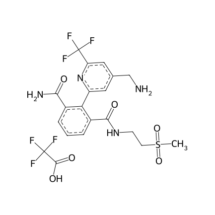 CS(=O)(=O)CCNC(=O)c1cccc(C(N)=O)c1-c1cc(CN)cc(C(F)(F)F)n1.O=C(O)C(F)(F)F